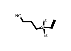 C=C[Si](CC)(CC)CCCC#N